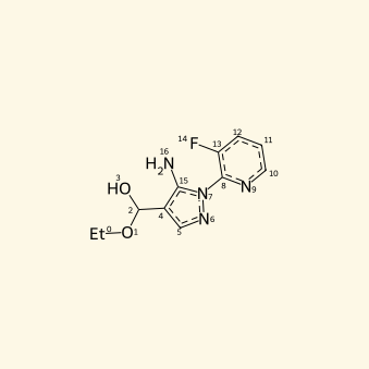 CCOC(O)c1cnn(-c2ncccc2F)c1N